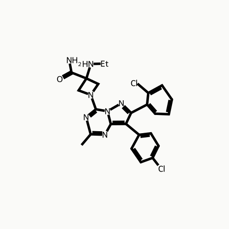 CCNC1(C(N)=O)CN(c2nc(C)nc3c(-c4ccc(Cl)cc4)c(-c4ccccc4Cl)nn23)C1